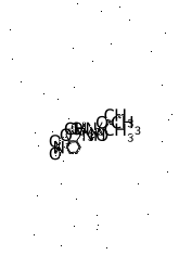 COc1c(C(=O)NNC(=O)OC(C)(C)C)cccc1[N+](=O)[O-]